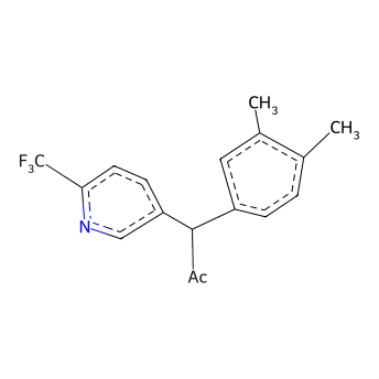 CC(=O)C(c1ccc(C(F)(F)F)nc1)c1ccc(C)c(C)c1